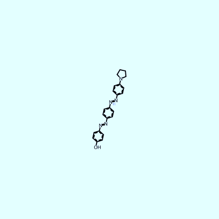 Oc1ccc(N=Nc2ccc(/N=N/c3ccc(N4CCCC4)cc3)cc2)cc1